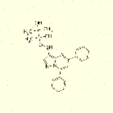 CC(C)(O)C(C)(C)OBc1cnn2c(-c3ccccc3)cc(-c3ccccc3)nc12